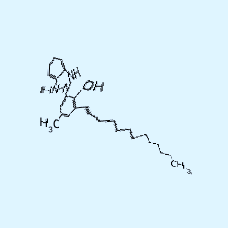 CCCCCCCCCCCCc1cc(C)cc(N2Nc3ccccc3N2)c1O